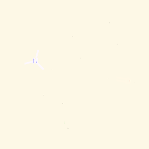 CC(C(=O)c1ccccc1)C1=CC(N(C)C)=CC1Cl